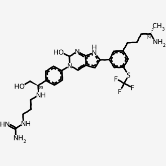 C[C@H](N)CCCc1cc(SC(F)(F)F)cc(-c2cc3c([nH]2)=NC(O)N(c2ccc([C@H](CO)NCCCNC(=N)N)cc2)C=3)c1